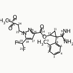 Cc1ccccc1C1(C(=N)N)CC1OC(=O)c1cc(C(F)F)n(CCS(C)(=O)=O)n1